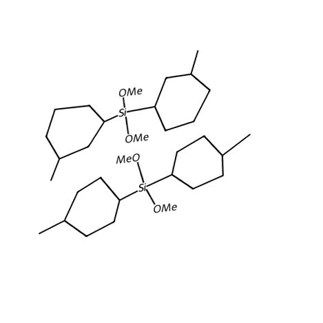 CO[Si](OC)(C1CCC(C)CC1)C1CCC(C)CC1.CO[Si](OC)(C1CCCC(C)C1)C1CCCC(C)C1